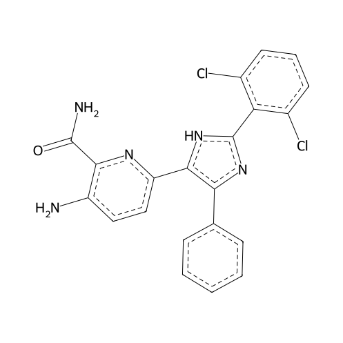 NC(=O)c1nc(-c2[nH]c(-c3c(Cl)cccc3Cl)nc2-c2ccccc2)ccc1N